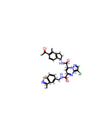 CC(=O)c1ccc2c(c1C)CC[C@@H]2NC(=O)c1cc(C(=O)NCc2ccc3snc(C)c3c2)nc2c(F)cnn12